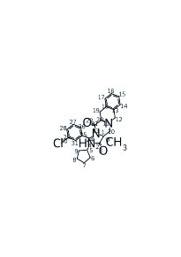 C[C@@]1(C(=O)NC2CCCC2)CN2Cc3ccccc3CC2C(=O)N1Cc1cccc(Cl)c1